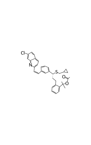 CC(=O)OC(C)(C)c1ccccc1CC[C@@H](SCC1CC1)c1cccc(/C=C\c2ccc3ccc(Cl)cc3n2)c1